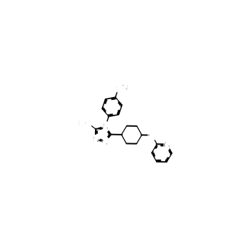 Cc1nnc(C2CCC(Oc3ccccn3)CC2)n1-c1ccc(C#N)cc1